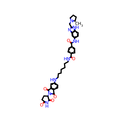 C[C@H]1CCCN1Cc1nc2cc(NC(=O)c3ccc(C(=O)NCCCCCCCNc4ccc5c(c4)C(=O)N(C4CCC(=O)NC4=O)C5=O)cc3)ccc2[nH]1